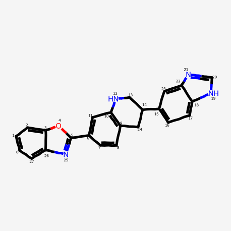 c1ccc2oc(-c3ccc4c(c3)NCC(c3ccc5[nH]cnc5c3)C4)nc2c1